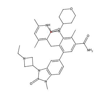 CCN1CC(n2c(=O)n(C)c3ccc(-c4cc(C(N)=O)c(C)c(N(CC)C5CCOCC5)c4Cc4c(C)cc(C)[nH]c4=O)cc32)C1